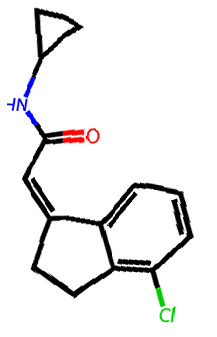 O=C(/C=C1/CCc2c(Cl)cccc21)NC1CC1